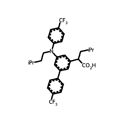 CC(C)CCN(c1ccc(C(F)(F)F)cc1)c1cc(-c2ccc(C(F)(F)F)cc2)cc(C(CC(C)C)C(=O)O)c1